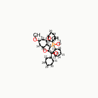 COc1cc(OC)c2c(P(=O)(c3ccccc3)c3ccccc3)c(C(=O)c3ccccc3)oc2c1